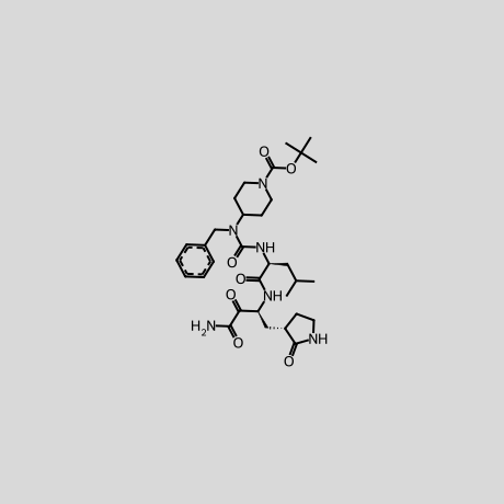 CC(C)C[C@H](NC(=O)N(Cc1ccccc1)C1CCN(C(=O)OC(C)(C)C)CC1)C(=O)N[C@@H](C[C@@H]1CCNC1=O)C(=O)C(N)=O